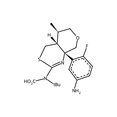 C[C@H]1COC[C@]2(c3cc(N)ccc3F)N=C(N(C(=O)O)C(C)(C)C)SC[C@H]12